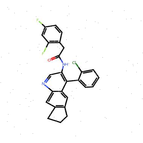 O=C(Cc1ccc(F)cc1F)Nc1cnc2cc3c(cc2c1-c1ccccc1Cl)CCC3